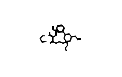 C=C/C=C\C(C(=C)CCCC1(CCC)CC(CCC)CC(c2ccccc2)C1)=C(/C)P1CCCC1